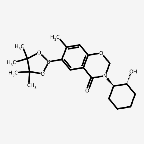 Cc1cc2c(cc1B1OC(C)(C)C(C)(C)O1)C(=O)N([C@@H]1CCCC[C@H]1O)CO2